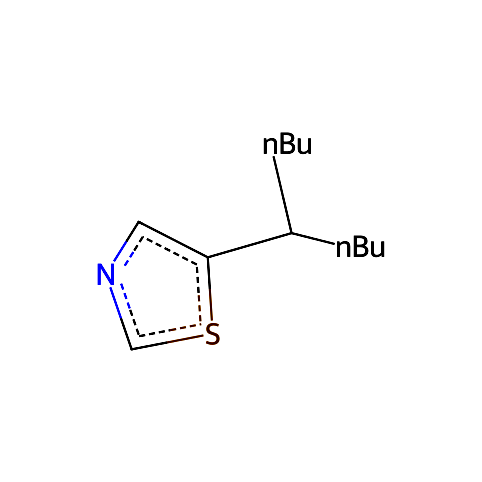 CCCCC(CCCC)c1cncs1